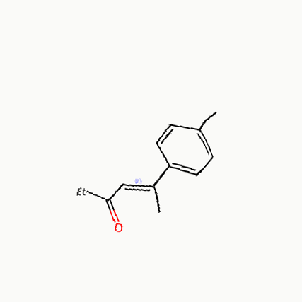 CCC(=O)/C=C(\C)c1ccc(C)cc1